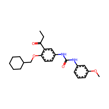 CCC(=O)c1cc(NC(=O)Nc2cccc(OC)c2)ccc1OCC1CCCCC1